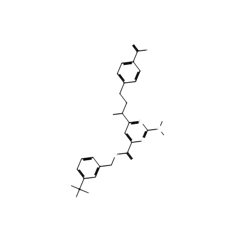 CN(C)c1nc(C(=O)NCc2cccc(C(F)(F)F)c2)cc(C(F)CCc2ccc(C(=O)O)cc2)n1